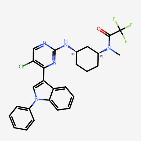 CN(C(=O)C(F)(F)F)[C@H]1CCC[C@@H](Nc2ncc(Cl)c(-c3cn(-c4ccccc4)c4ccccc34)n2)C1